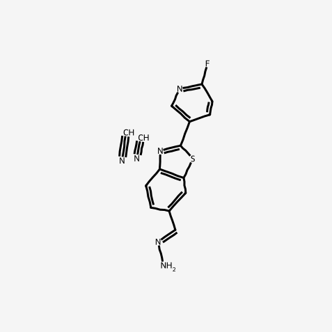 C#N.C#N.NN=Cc1ccc2nc(-c3ccc(F)nc3)sc2c1